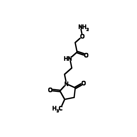 CC1CC(=O)N(CCNC(=O)CON)C1=O